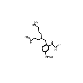 CCCCCc1ccc(CC(CCCNCCC)CCNCCCC)c(C(=O)NCC)c1